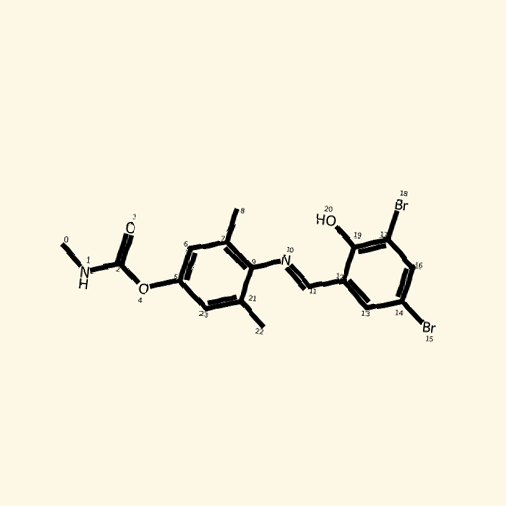 CNC(=O)Oc1cc(C)c(/N=C/c2cc(Br)cc(Br)c2O)c(C)c1